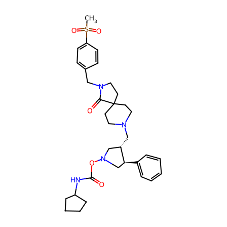 CS(=O)(=O)c1ccc(CN2CCC3(CCN(C[C@H]4CN(OC(=O)NC5CCCC5)C[C@@H]4c4ccccc4)CC3)C2=O)cc1